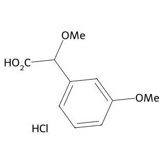 COc1cccc(C(OC)C(=O)O)c1.Cl